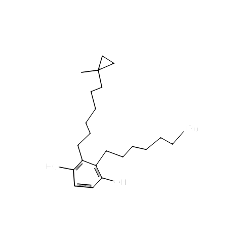 CC(C)(C)CCCCCCc1c(O)ccc(O)c1CCCCCCC1(C)CC1